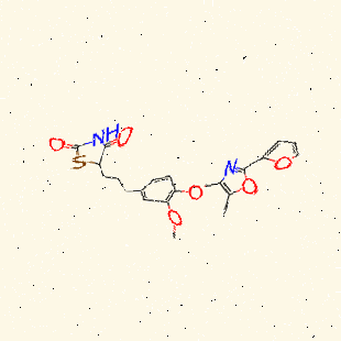 COc1cc(CCCC2SC(=O)NC2=O)ccc1OCc1nc(-c2ccco2)oc1C